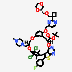 Cc1c(Cl)c2c(Cl)c(C)c1-c1c(-c3ccc(F)cc3)sc3ncnc(c13)O[C@@H](C(=O)OC(C)(C)C)Cc1cc(ccc1OCc1ccnc(C3(COC[C@H]4COCCO4)CCC3)n1)OC[C@@H](CN1CCN(C)CC1)O2